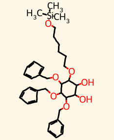 C[Si](C)(C)OCCCCCCOC1C(O)C(O)C(OCc2ccccc2)C(OCc2ccccc2)C1OCc1ccccc1